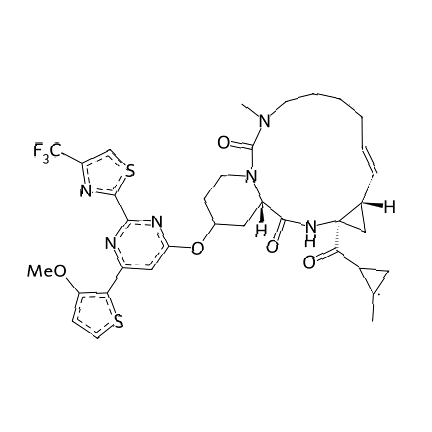 COc1ccsc1-c1cc(OC2CCN3C(=O)N(C)CCCC/C=C/[C@@H]4C[C@@]4(C(=O)C4C[C]4C)NC(=O)[C@@H]3C2)nc(-c2nc(C(F)(F)F)cs2)n1